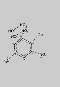 O=[N+]([O-])O.O=[N+]([O-])O.O=[N+]([O-])c1cc(C(F)(F)F)ccc1Cl